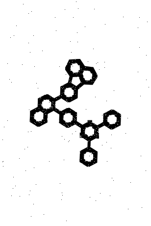 c1ccc(-c2nc(-c3ccccc3)nc(-c3ccc(-c4c(-c5ccc6c(c5)-c5cccc7cccc-6c57)ccc5ccccc45)cc3)n2)cc1